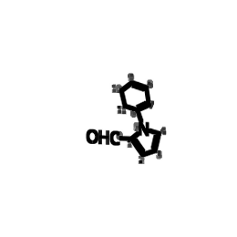 O=Cc1cccn1C1=CC=CCC1